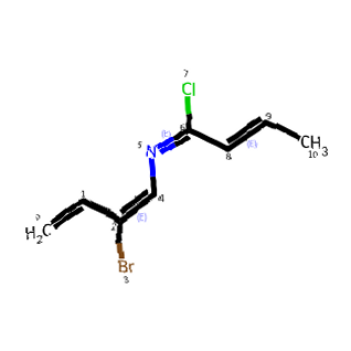 C=C\C(Br)=C/N=C(Cl)\C=C\C